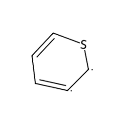 [C]1=CC=CS[CH]1